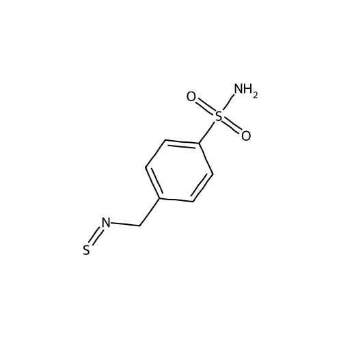 NS(=O)(=O)c1ccc(CN=S)cc1